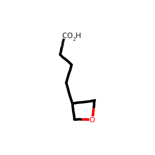 O=C(O)CCCC1COC1